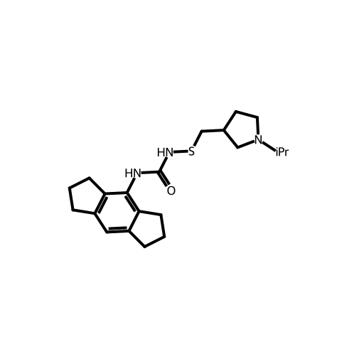 CC(C)N1CCC(CSNC(=O)Nc2c3c(cc4c2CCC4)CCC3)C1